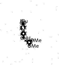 COc1cc(CNC(=O)c2ccc(N3CCN(C(=O)OC(C)(C)C)CC3)cc2)cc(OC)c1